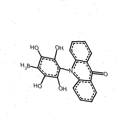 Bc1c(O)c(O)c(-n2c3ccccc3c(=O)c3ccccc32)c(O)c1O